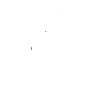 COCCCNc1nc(C(C)(C)C)ncc1C(=O)N(CC(C)C)[C@@H]1CNC[C@H](C(=O)N2CCC(Oc3ccccc3)CC2)C1.Cl.Cl